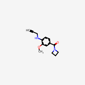 C#CCNc1ccc(C(=O)N2CCC2)cc1OC